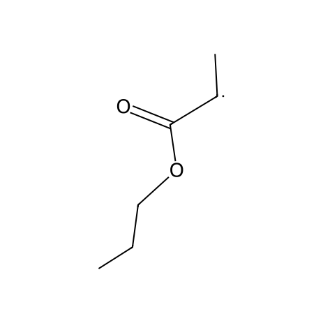 C[CH]C(=O)OCCC